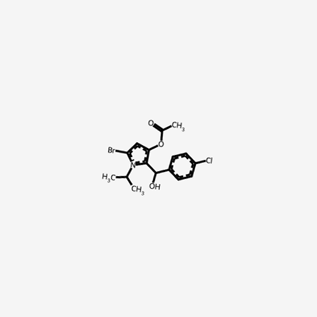 CC(=O)Oc1cc(Br)n(C(C)C)c1C(O)c1ccc(Cl)cc1